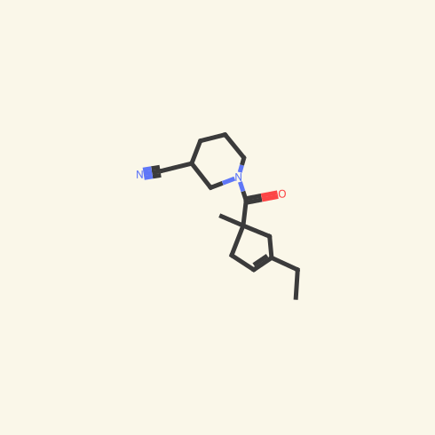 CCC1=CCC(C)(C(=O)N2CCCC(C#N)C2)C1